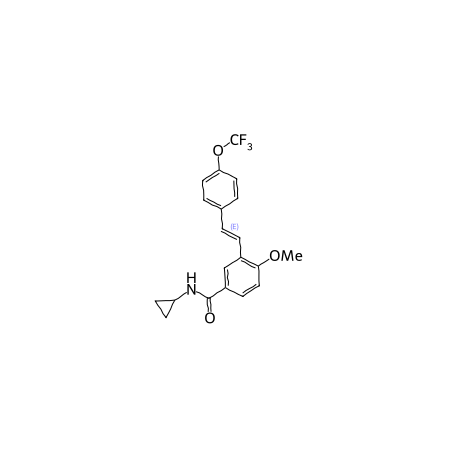 COc1ccc(C(=O)NC2CC2)cc1/C=C/c1ccc(OC(F)(F)F)cc1